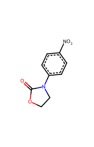 O=C1OCCN1c1ccc([N+](=O)[O-])cc1